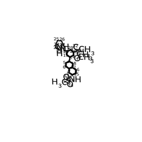 COc1c(-c2ccc3cc(NS(C)(=O)=O)ccc3c2)cc(N2C=CC3CCC2N3)cc1C(C)(C)C